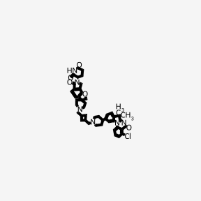 CC1(C)c2ccc(C3CCN(CC4CC(CN5CCC6(CC5)COc5c6ccc6c5CN([C@H]5CCC(=O)NC5=O)C6=O)C4)CC3)cc2-n2c1nc(=O)c1c(Cl)cccc12